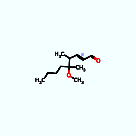 CCCCC(C)(OC)C(C)/C=C/C=O